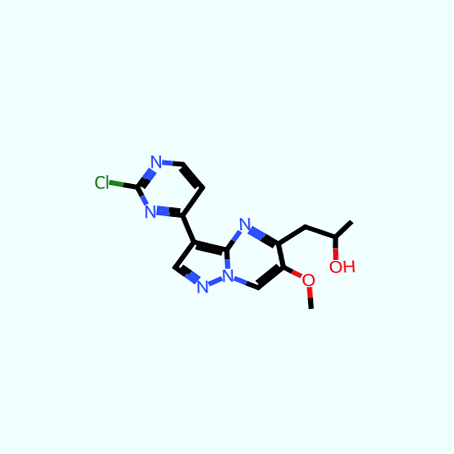 COc1cn2ncc(-c3ccnc(Cl)n3)c2nc1CC(C)O